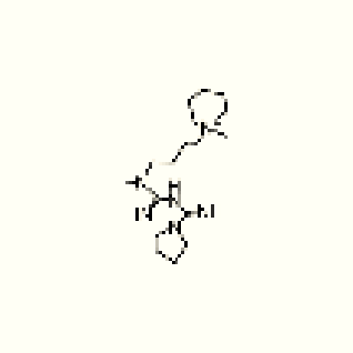 CN(CCCC[N+]1(C)CCCCC1)C(=N)NC(=N)N1CCCC1